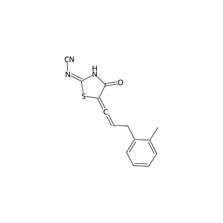 Cc1ccccc1CC=C=C1SC(=NC#N)NC1=O